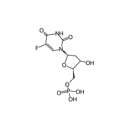 O=c1[nH]c(=O)n([C@H]2CC(O)[C@@H](COP(=O)(O)O)O2)cc1F